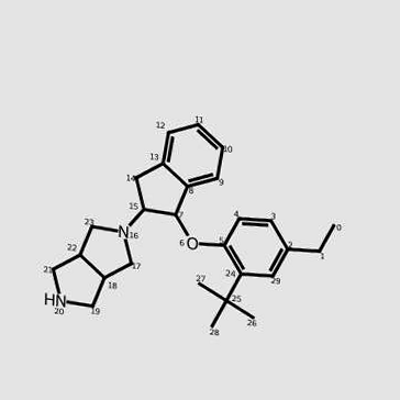 CCc1ccc(OC2c3ccccc3CC2N2CC3CNCC3C2)c(C(C)(C)C)c1